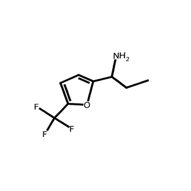 CCC(N)c1ccc(C(F)(F)F)o1